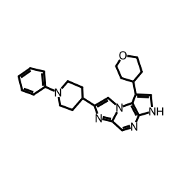 c1ccc(N2CCC(c3cn4c(cnc5[nH]cc(C6CCOCC6)c54)n3)CC2)cc1